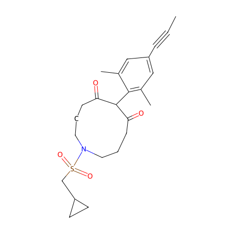 CC#Cc1cc(C)c(C2C(=O)CCCN(S(=O)(=O)CC3CC3)CCCC2=O)c(C)c1